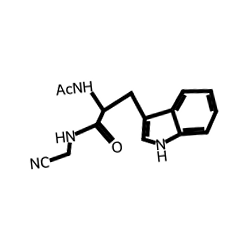 CC(=O)NC(Cc1c[nH]c2ccccc12)C(=O)NCC#N